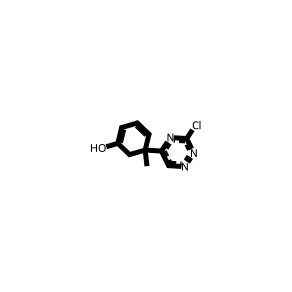 CC1(c2cnnc(Cl)n2)C=CC=C(O)C1